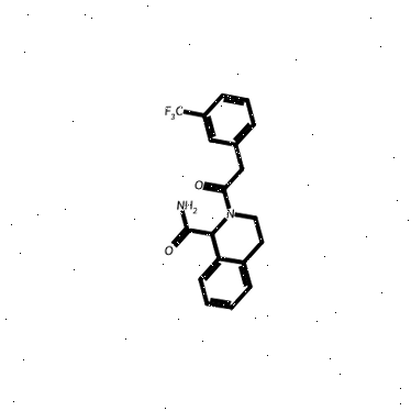 NC(=O)C1c2cc[c]cc2CCN1C(=O)Cc1cccc(C(F)(F)F)c1